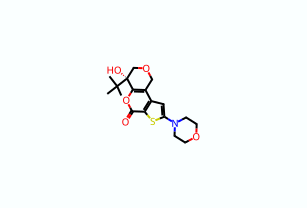 CC(C)(C)[C@@]1(O)COCc2c1oc(=O)c1sc(N3CCOCC3)cc21